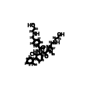 Cc1ccccc1C1=CC=CC(NC(=O)c2ccc(CNCCO)cn2)(NC(=O)c2nc(CNCCO)cn2C)C1Cl